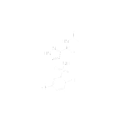 CC(C)NC(=O)c1n[nH]cc1NS(=O)(=O)c1cc(Cl)ccc1Cl